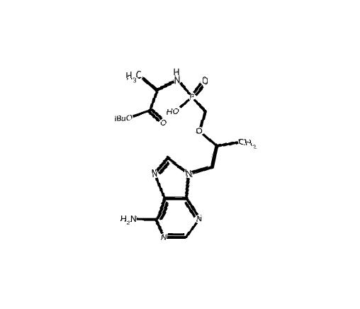 CC(C)COC(=O)C(C)NP(=O)(O)COC(C)Cn1cnc2c(N)ncnc21